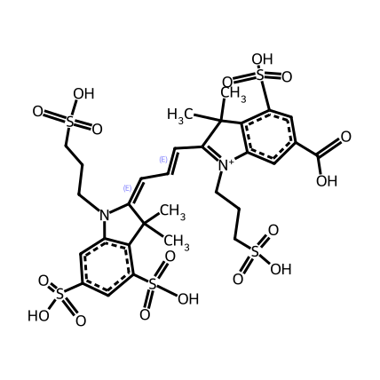 CC1(C)C(/C=C/C=C2/N(CCCS(=O)(=O)O)c3cc(S(=O)(=O)O)cc(S(=O)(=O)O)c3C2(C)C)=[N+](CCCS(=O)(=O)O)c2cc(C(=O)O)cc(S(=O)(=O)O)c21